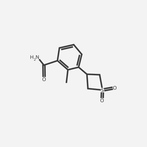 Cc1c(C(N)=O)cccc1C1CS(=O)(=O)C1